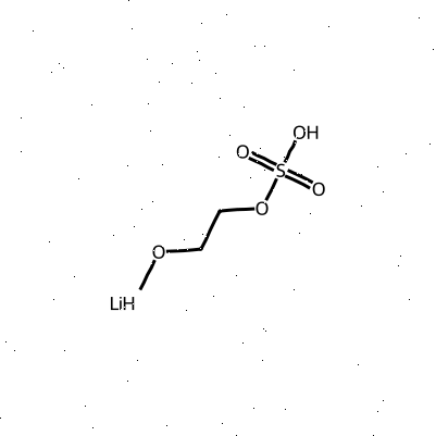 COCCOS(=O)(=O)O.[LiH]